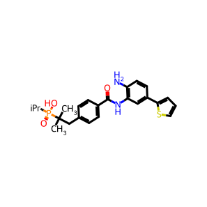 CC(C)P(=O)(O)C(C)(C)Cc1ccc(C(=O)Nc2cc(-c3cccs3)ccc2N)cc1